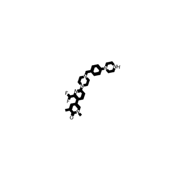 Cc1cc(-c2ccc(N3CCN(Cc4ccc(N5CCNCC5)cc4)CC3)nc2C(F)F)cn(C)c1=O